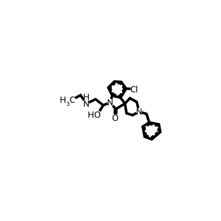 CCNCC(O)N1C(=O)C2(CCN(Cc3ccccc3)CC2)c2c(Cl)cccc21